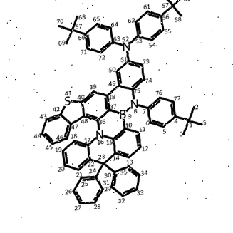 CC(C)(C)c1ccc(N2B3c4cccc5c4N(c4ccccc4C5(c4ccccc4)c4ccccc4)c4c3c(cc3sc5ccccc5c43)-c3cc(N(c4ccc(C(C)(C)C)cc4)c4ccc(C(C)(C)C)cc4)ccc32)cc1